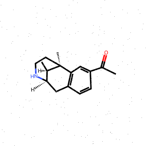 CC(=O)c1ccc2c(c1)[C@]1(C)CCN[C@H](C2)[C@H]1C